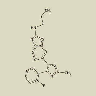 CCCNc1nc2ccc(-c3cn(C)nc3-c3ccccc3F)cc2s1